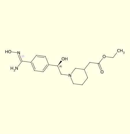 CCOC(=O)CC1CCCN(C[C@H](O)c2ccc(/C(N)=N/O)cc2)C1